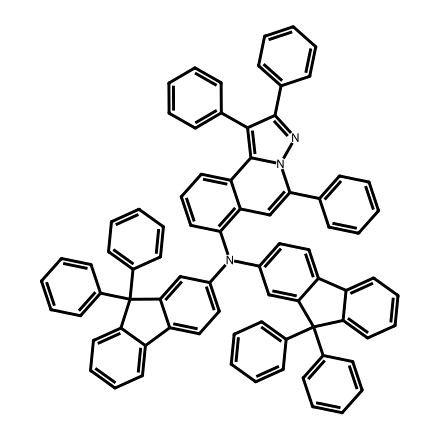 c1ccc(-c2nn3c(-c4ccccc4)cc4c(N(c5ccc6c(c5)C(c5ccccc5)(c5ccccc5)c5ccccc5-6)c5ccc6c(c5)C(c5ccccc5)(c5ccccc5)c5ccccc5-6)cccc4c3c2-c2ccccc2)cc1